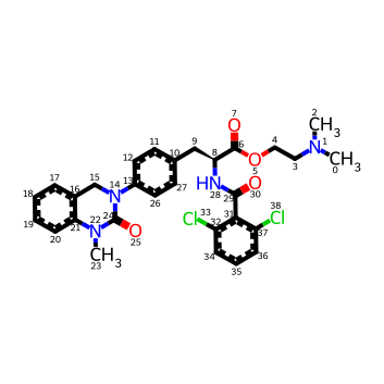 CN(C)CCOC(=O)[C@H](Cc1ccc(N2Cc3ccccc3N(C)C2=O)cc1)NC(=O)c1c(Cl)cccc1Cl